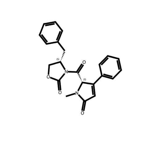 CN1C(=O)C=C(c2ccccc2)[C@H]1C(=O)N1C(=O)OC[C@@H]1Cc1ccccc1